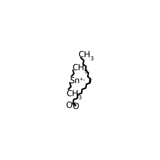 CCCCCCCC/C=C\CCCCCCCC(=O)[O-].CCC[CH2][Sn+][CH2]CCC